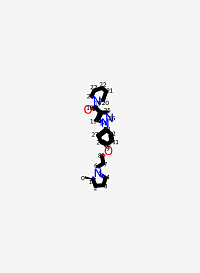 C[C@@H]1CCCN1CCCOc1ccc(-n2cc(C(=O)N3CCCCC3)cn2)cc1